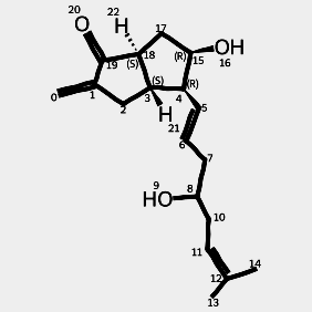 C=C1C[C@H]2[C@H](C=CCC(O)CC=C(C)C)[C@H](O)C[C@@H]2C1=O